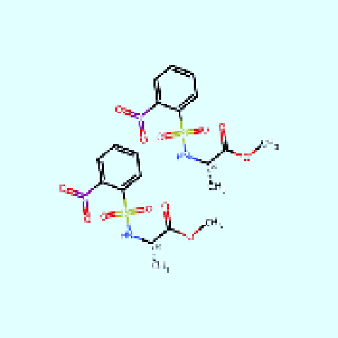 COC(=O)[C@H](C)NS(=O)(=O)c1ccccc1I(=O)=O.COC(=O)[C@H](C)NS(=O)(=O)c1ccccc1I(=O)=O